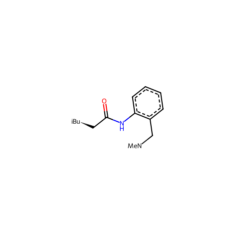 CC[C@H](C)CC(=O)Nc1ccccc1CNC